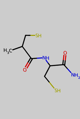 CC(CS)C(=O)NC(CS)C(N)=O